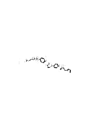 CN(C)CCCNS(=O)(=O)c1ccc(Nc2nccc(-c3ccc(NC(=O)CCc4cccs4)cc3)n2)cc1